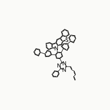 C=C/C=C\C=C\c1nc(-c2ccccc2)nc(-c2cc(-c3ccc(-c4ccccc4)cc3)c(-n3c4ccccc4c4cc5c(cc43)sc3ccccc35)c(-c3ccc(-c4ccccc4)cc3)c2)n1